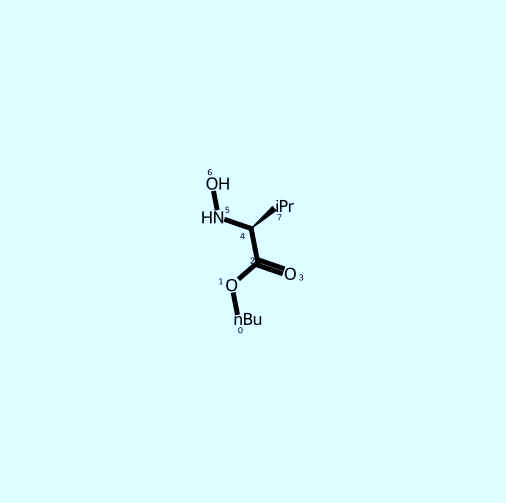 CCCCOC(=O)[C@@H](NO)C(C)C